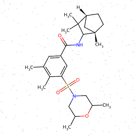 Cc1cc(C(=O)NC2C(C)(C)[C@@H]3CC[C@@]2(C)C3)cc(S(=O)(=O)N2CC(C)OC(C)C2)c1C